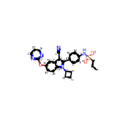 CCCS(=O)(=O)Nc1ccc(-c2c(C#N)c3cc(Oc4ncccn4)ccc3n2C2CCC2)cc1